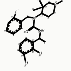 CC(NC(=O)N(Cc1ccccc1F)C1CCN(C)CC1(C)C)c1cccc(Cl)c1Cl